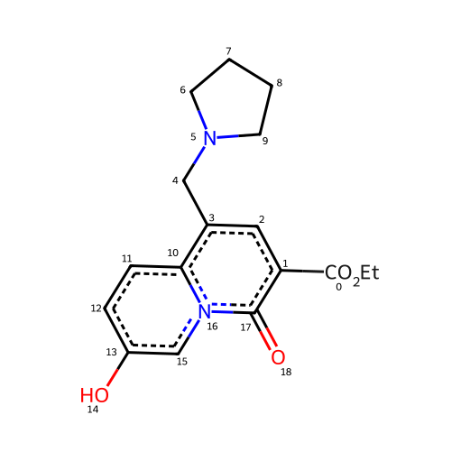 CCOC(=O)c1cc(CN2CCCC2)c2ccc(O)cn2c1=O